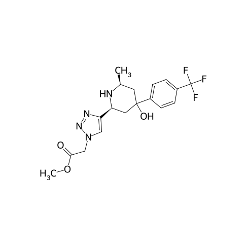 COC(=O)Cn1cc([C@@H]2CC(O)(c3ccc(C(F)(F)F)cc3)C[C@H](C)N2)nn1